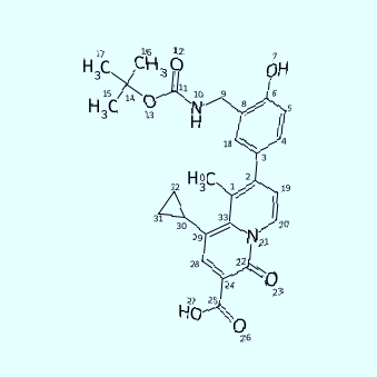 Cc1c(-c2ccc(O)c(CNC(=O)OC(C)(C)C)c2)ccn2c(=O)c(C(=O)O)cc(C3CC3)c12